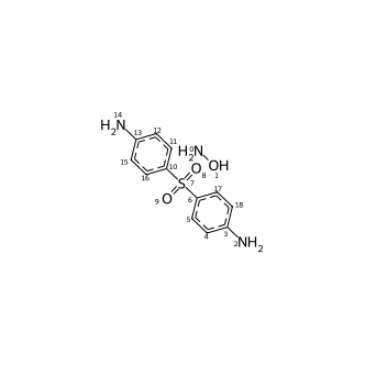 NO.Nc1ccc(S(=O)(=O)c2ccc(N)cc2)cc1